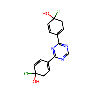 OC1(Cl)C=CC(c2ncnc(C3=CCC(O)(Cl)C=C3)n2)=CC1